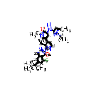 CCc1c(-c2cc(Nc3cc(C)n(CC)n3)c(=O)n(C)c2)ccnc1-n1ncc2cc(C(C)(C)C)cc(F)c2c1=O